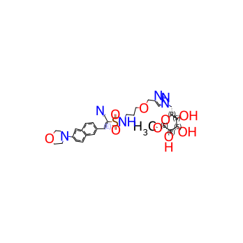 CO[C@H]1O[C@H](Cn2cc(COCCCNS(=O)(=O)/C(C#N)=C/c3ccc4cc(N5CCOCC5)ccc4c3)nn2)[C@@H](O)[C@H](O)[C@H]1O